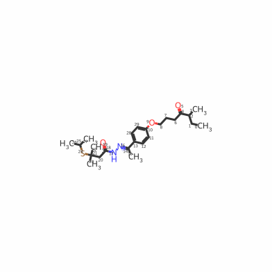 CCC(C)C(=O)CCCOc1ccc(/C(C)=N/NC(=O)CC(C)(C)SC(C)C)cc1